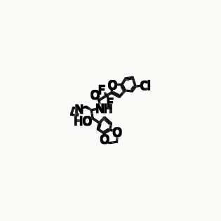 O=C(N[C@H](CN1CCC1)[C@H](O)c1ccc2c(c1)OCCO2)C(F)(F)c1cc2cc(Cl)ccc2o1